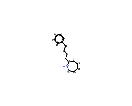 c1ccc(CCCCC2CCCCCN2)cc1